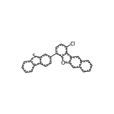 Clc1ccc(-c2ccc3c(c2)sc2ccccc23)c2oc3cc4ccccc4cc3c12